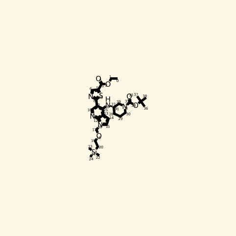 CCOC(=O)c1cnc(-c2cnc3c(ccn3COCC[Si](C)(C)C)c2N[C@@H]2CCCN(C(=O)OC(C)(C)C)C2)s1